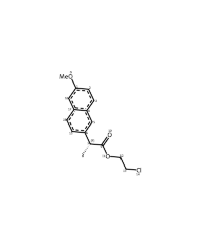 COc1ccc2cc([C@@H](C)C(=O)OCCCl)ccc2c1